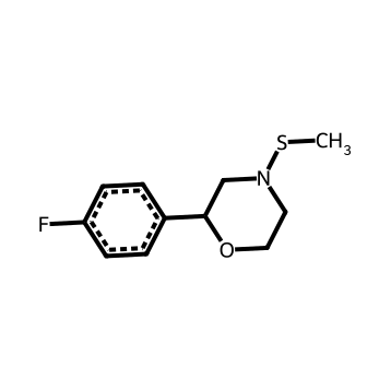 CSN1CCOC(c2ccc(F)cc2)C1